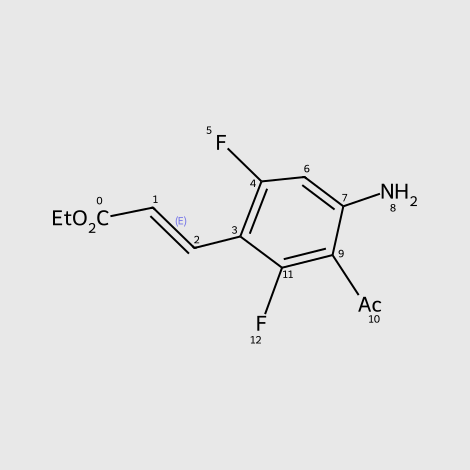 CCOC(=O)/C=C/c1c(F)cc(N)c(C(C)=O)c1F